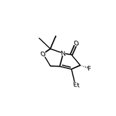 CCC1=C2COC(C)(C)N2C(=O)[C@@H]1F